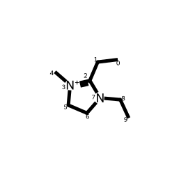 CCC1=[N+](C)CCN1CC